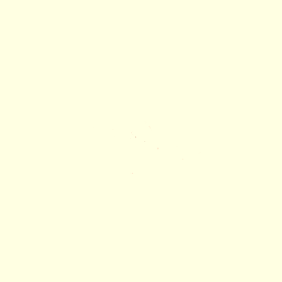 CCc1ccc(CSC(c2ccccc2)(c2ccccc2)c2ccc3ccccc3c2)cc1